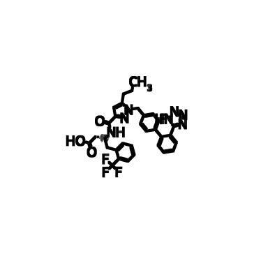 CCCc1cc(C(=O)N[C@@H](CC(=O)O)Cc2ccccc2C(F)(F)F)nn1Cc1ccc(-c2ccccc2-c2nnn[nH]2)c(F)c1